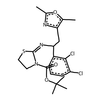 Cc1nc(CC(/N=C2/SCCN2C(=O)OC(C)(C)C)c2cccc(Cl)c2Cl)c(C)o1